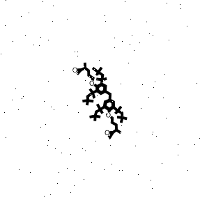 CC(CCCOc1c(C(C)(C)CC(C)(C)C)cc(Cc2cc(C(C)(C)CC(C)(C)C)c(OCCCC(C)C3CO3)c(C(C)(C)CC(C)(C)C)c2)cc1C(C)(C)CC(C)(C)C)C1CO1